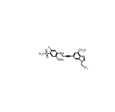 COc1cc(S(C)(=O)=O)c(F)cc1NCC#Cc1cc(C(=O)O)c2ncn(CC(F)(F)F)c2c1